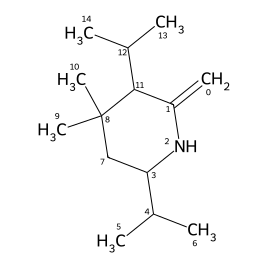 C=C1NC(C(C)C)CC(C)(C)C1C(C)C